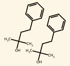 CC(C)(O)CCc1ccccc1.CC(C)(O)CCc1ccccc1